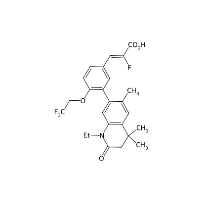 CCN1C(=O)CC(C)(C)c2cc(C)c(-c3cc(C=C(F)C(=O)O)ccc3OCC(F)(F)F)cc21